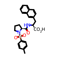 Cc1ccc(S(=O)(=O)N2CCC[C@H]2C(=O)N[C@@H](Cc2ccc3ccccc3c2)C(=O)O)cc1